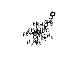 CCNCC(=O)O[N+](OC(=O)CN(C)CC)(OC(=O)CN(C)CC)OC(CNC(=O)CCC(=O)C(=O)OCc1ccccc1)CN(C)CC